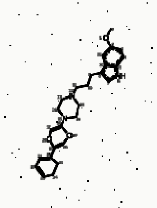 COc1ccc2[nH]cc(CCCN3CCN(C4=COC(C5=CC=CCC5)=CO4)CC3)c2c1